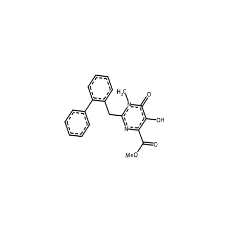 COC(=O)c1nc(Cc2ccccc2-c2ccccc2)n(C)c(=O)c1O